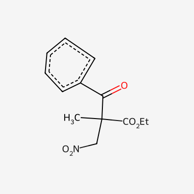 CCOC(=O)C(C)(C[N+](=O)[O-])C(=O)c1ccccc1